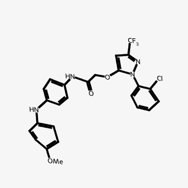 COc1ccc(Nc2ccc(NC(=O)COc3cc(C(F)(F)F)nn3-c3ccccc3Cl)cc2)cc1